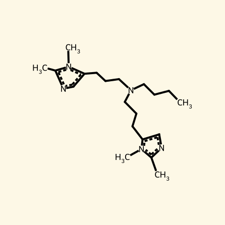 CCCCN(CCCc1cnc(C)n1C)CCCc1cnc(C)n1C